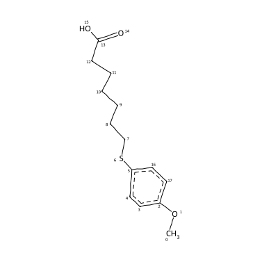 COc1ccc(SCCCCCCC(=O)O)cc1